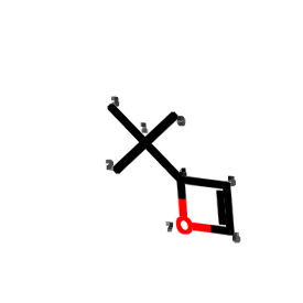 CC(C)(C)C1C=CO1